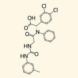 Cc1cccc(NC(=O)NCC(=O)N(c2ccccc2)[C@H](C(=O)O)c2ccc(Cl)c(Cl)c2)c1